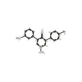 Cc1cccc(-c2cn(C)cc(-c3ccc(Br)cc3)c2=O)c1